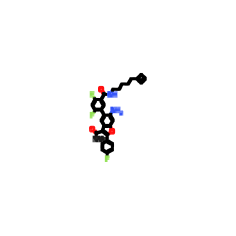 CNC(=O)c1c(-c2ccc(F)cc2)oc2cc(N)c(-c3cc(C(=O)NCCCCCC45CC(C4)C5)c(F)cc3F)cc12